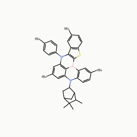 CC1C2CC(CC2N2c3ccc(C(C)(C)C)cc3B3c4sc5ccc(C(C)(C)C)cc5c4N(c4ccc(C(C)(C)C)cc4)c4cc(C(C)(C)C)cc2c43)C1(C)C